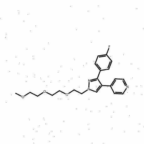 COCCOCCOCCn1cc(-c2ccncc2)c(-c2ccc(F)cc2)n1